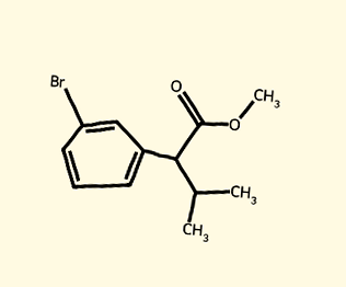 COC(=O)C(c1cccc(Br)c1)C(C)C